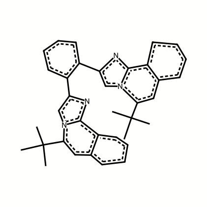 CC(C)(C)c1cc2ccccc2c2nc(-c3ccccc3-c3cn4c(C(C)(C)C)cc5ccccc5c4n3)cn12